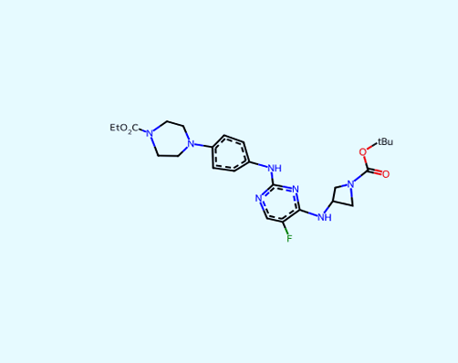 CCOC(=O)N1CCN(c2ccc(Nc3ncc(F)c(NC4CN(C(=O)OC(C)(C)C)C4)n3)cc2)CC1